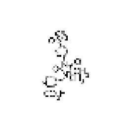 CC1(C)C(=O)N(c2ccc(S(=O)(=O)C(F)(F)F)cc2)C(=O)N1Cc1ccnc(C(=O)O)c1